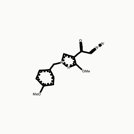 COc1ccc(Cn2cc(C(=O)C=[N+]=[N-])c(OC)n2)cc1